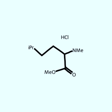 CNC(CCC(C)C)C(=O)OC.Cl